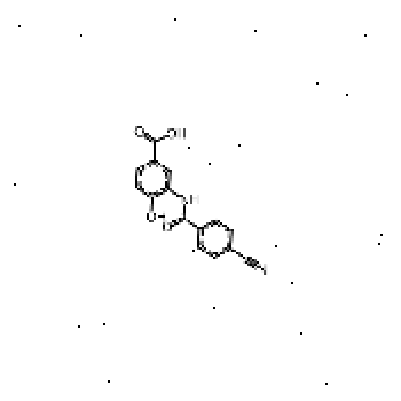 N#Cc1ccc(C(=O)Nc2cc(C(=O)O)ccc2O)cc1